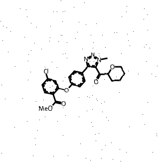 COC(=O)c1ccc(Cl)cc1Oc1ccc(-c2nnn(C)c2C(=O)C2CCCCO2)cc1